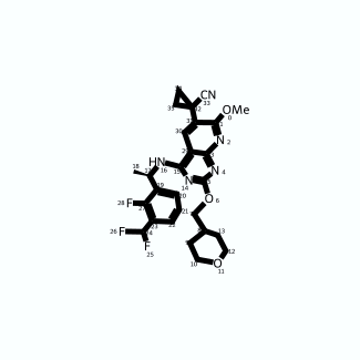 COc1nc2nc(OCC3CCOCC3)nc(N[C@H](C)c3cccc(C(F)F)c3F)c2cc1C1(C#N)CC1